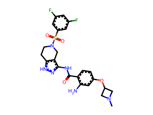 CN1CC(Oc2ccc(C(=O)Nc3n[nH]c4c3CN(S(=O)(=O)c3cc(F)cc(F)c3)CC4)c(N)c2)C1